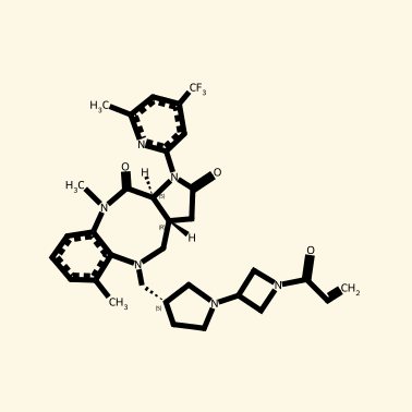 C=CC(=O)N1CC(N2CC[C@H](CN3C[C@H]4CC(=O)N(c5cc(C(F)(F)F)cc(C)n5)[C@@H]4C(=O)N(C)c4cccc(C)c43)C2)C1